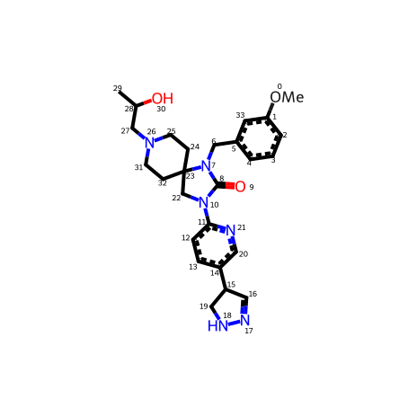 COc1cccc(CN2C(=O)N(c3ccc(C4C=NNC4)cn3)CC23CCN(CC(C)O)CC3)c1